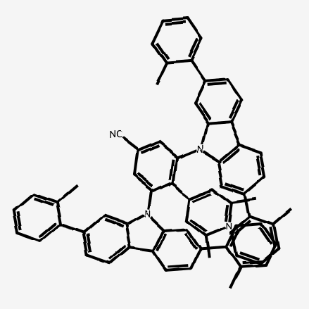 Cc1cc(-c2c(-n3c4cc(-c5ccccc5C)ccc4c4ccc(-c5ccccc5C)cc43)cc(C#N)cc2-n2c3cc(-c4ccccc4C)ccc3c3ccc(-c4ccccc4C)cc32)cc(C)n1